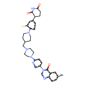 [2H]c1ccc2ncn(-c3ccc(N4CCN(CC5CCN(c6ccc(C7CCC(=O)NC7=O)cc6F)CC5)CC4)nc3)c(=O)c2c1